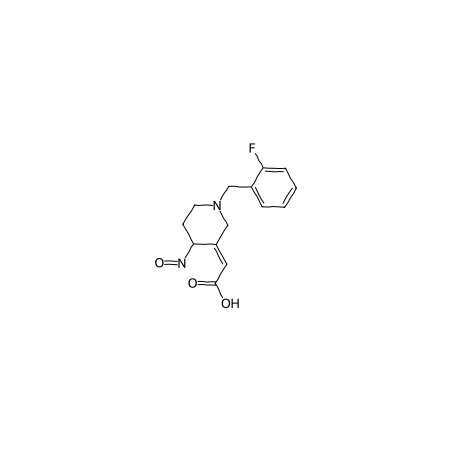 O=NC1CCN(Cc2ccccc2F)C/C1=C/C(=O)O